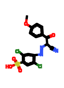 COc1ccc(C(=O)C(C#N)N=Nc2cc(Cl)c(S(=O)(=O)O)cc2Cl)cc1